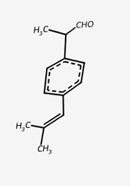 CC(C)=Cc1ccc(C(C)C=O)cc1